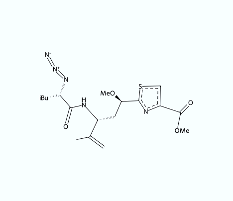 C=C(C)[C@@H](C[C@@H](OC)c1nc(C(=O)OC)cs1)NC(=O)[C@@H](N=[N+]=[N-])[C@@H](C)CC